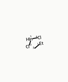 [CH2]CC.[Cl][InH][Cl]